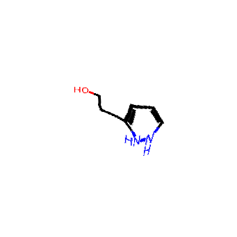 OCCC1=CC=CNN1